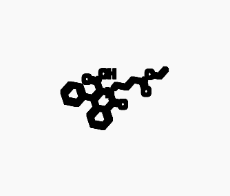 CCOC(=O)CCCn1c(C(=O)O)c(-c2ccccc2)c2ccccc2c1=O